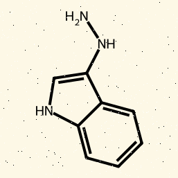 NNc1c[nH]c2ccccc12